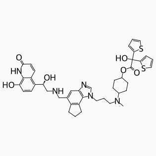 CN(CCCn1cnc2cc(CNC[C@H](O)c3ccc(O)c4[nH]c(=O)ccc34)c3c(c21)CCC3)C1CCC(OC(=O)C(O)(c2cccs2)c2cccs2)CC1